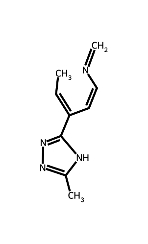 C=N/C=C\C(=C/C)c1nnc(C)[nH]1